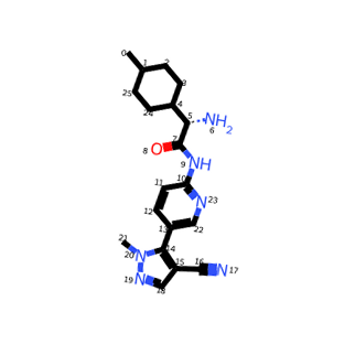 CC1CCC([C@H](N)C(=O)Nc2ccc(-c3c(C#N)cnn3C)cn2)CC1